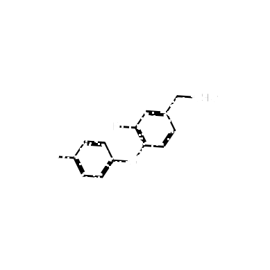 O=CCc1ccc(Oc2ccc(F)cc2)c(F)c1